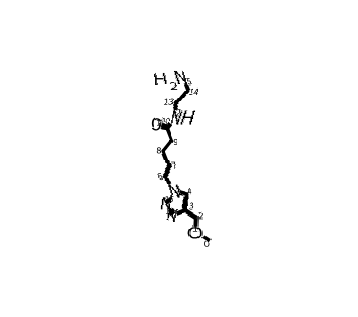 COCc1cn(CCCCC(=O)NCCN)nn1